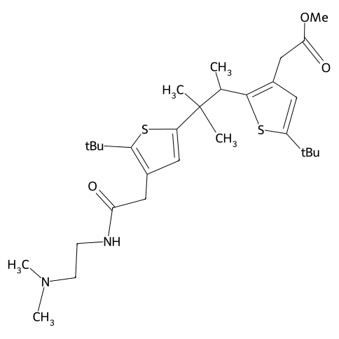 COC(=O)Cc1cc(C(C)(C)C)sc1C(C)C(C)(C)c1cc(CC(=O)NCCN(C)C)c(C(C)(C)C)s1